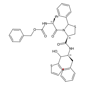 CC(C)[C@H](NC(=O)OCc1ccccc1)C(=O)N1C(c2ccccc2)SC[C@H]1C(=O)N[C@@H](Cc1ccccc1)C(O)c1nccs1